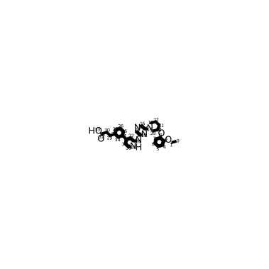 CCOc1ccccc1O[C@@H]1CCCN(c2cncc(Nc3cc(-c4cccc(CCC(=O)O)c4)ccn3)n2)C1